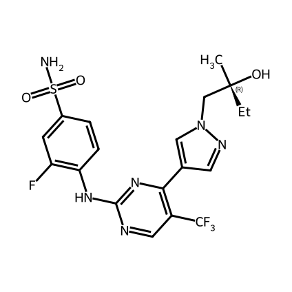 CC[C@@](C)(O)Cn1cc(-c2nc(Nc3ccc(S(N)(=O)=O)cc3F)ncc2C(F)(F)F)cn1